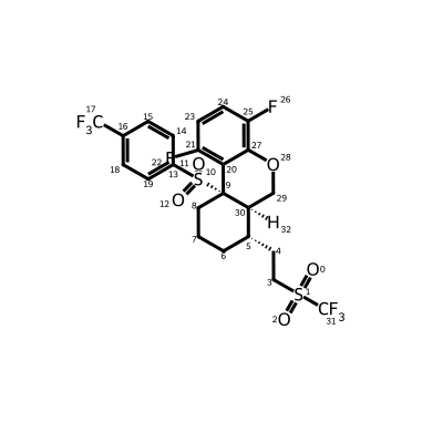 O=S(=O)(CC[C@@H]1CCC[C@@]2(S(=O)(=O)c3ccc(C(F)(F)F)cc3)c3c(F)ccc(F)c3OC[C@@H]12)C(F)(F)F